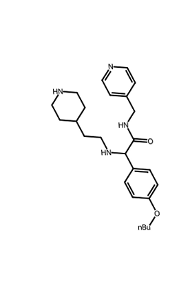 CCCCOc1ccc(C(NCCC2CCNCC2)C(=O)NCc2ccncc2)cc1